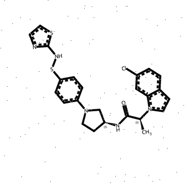 C[C@@H](C(=O)N[C@H]1CCN(c2ccc(SNc3nccs3)cc2)C1)n1ccc2ccc(Cl)cc21